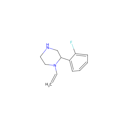 C=CN1CCNCC1c1ccccc1F